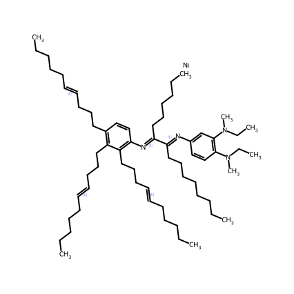 CCCCC/C=C/CCCc1ccc(/N=C(CCCCCC)/C(CCCCCCCC)=N/c2ccc(N(C)CC)c(N(C)CC)c2)c(CCC/C=C/CCCCC)c1CCC/C=C/CCCCC.[Ni]